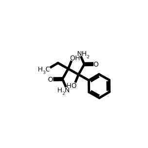 CCC(O)(C(N)=O)C(O)(C(N)=O)c1ccccc1